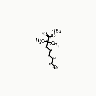 CC(C)(C)OC(=O)C(C)(C)CCCCCBr